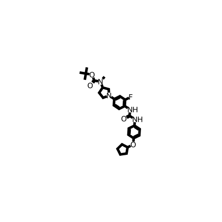 CN(C(=O)OC(C)(C)C)C1CCN(c2ccc(NC(=O)Nc3ccc(OC4CCCC4)cc3)c(F)c2)C1